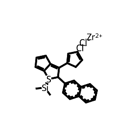 C[Si](C)=S1C2=CC=CC2=C(C2=CC=CC2)C1c1ccc2ccccc2c1.[Cl-].[Cl-].[Zr+2]